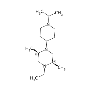 CCN1C[C@@H](C)N(C2CCN(C(C)C)CC2)C[C@H]1C